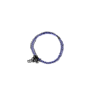 CC(C)(C)OC(=O)Nc1cccc2c1N=C1C=C(OCc3ccccc3)/C=C/C/C=C/C=C/C=C/C=C/C=C/C=C/C=C/C=C/C=C/C=C\C=C/C=C/C=C/C=C\C=C/C=C/C=C/C=C/C=C/C=C/C=C/C=CC=C/C=C/C=C/C=C/C=C/C=C/C=C/C=C\C=C/C=C/C=C/C=C/C=C\C=C/C=C/C=C/C=C/C=C/C=C/C=C/C=C/C=C/C=C/C=C/C=C12